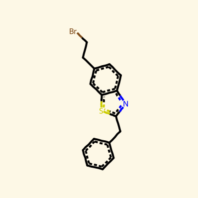 BrCCc1ccc2nc(Cc3ccccc3)sc2c1